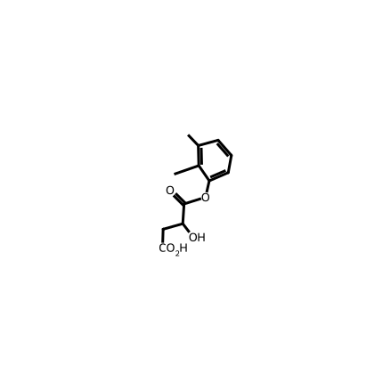 Cc1cccc(OC(=O)C(O)CC(=O)O)c1C